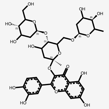 CC1O[C@@H](OCC2O[C@@](C)(Oc3c(-c4ccc(O)c(O)c4)oc4cc(O)cc(O)c4c3=O)CC(O)[C@@H]2O[C@H]2CC(O)[C@H](O)C(CO)O2)CC(O)[C@H]1O